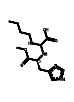 CCCCNC(N[C@@H](Cc1c[nH]cn1)C(=O)OC)C(=O)O